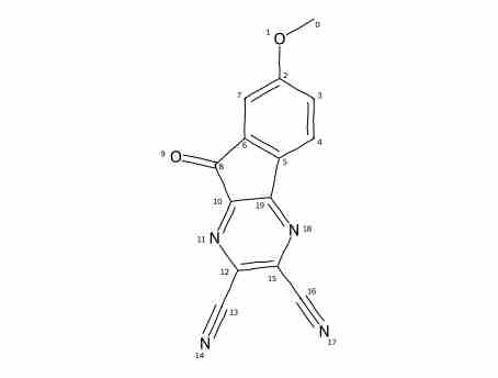 COc1ccc2c(c1)C(=O)c1nc(C#N)c(C#N)nc1-2